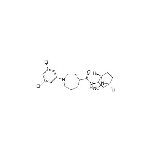 N#CN1[C@H]2CC[C@H]1[C@H](NC(=O)C1CCCN(c3cc(Cl)cc(Cl)c3)CC1)C2